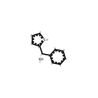 [KH].c1ccc(Cc2cccs2)cc1